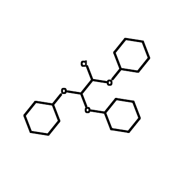 ClC(OC1CCCCC1)C(OC1CCCCC1)OC1CCCCC1